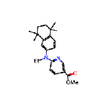 CCN(c1ccc2c(c1)C(C)(C)CCC2(C)C)c1ccc(C(=O)OC)cn1